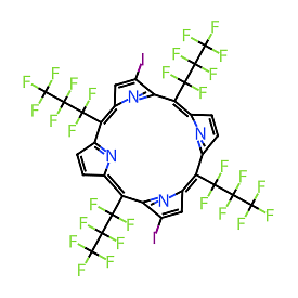 FC(F)(F)C(F)(F)C(F)(F)C1=C2C=C(I)C(=N2)C(C(F)(F)C(F)(F)C(F)(F)F)=C2C=CC(=N2)C(C(F)(F)C(F)(F)C(F)(F)F)=C2C=C(I)C(=N2)C(C(F)(F)C(F)(F)C(F)(F)F)=C2C=CC1=N2